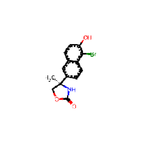 C[C@@]1(c2ccc3c(Br)c(O)ccc3c2)COC(=O)N1